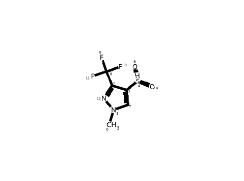 Cn1cc([SH](=O)=O)c(C(F)(F)F)n1